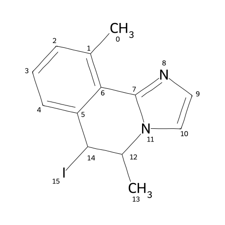 Cc1cccc2c1-c1nccn1C(C)C2I